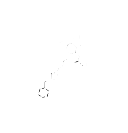 NC(=O)C[C@H]1[C@H](OCCCNC(=O)OCc2ccccc2)O[C@H](CO)[C@H](O)[C@@H]1O